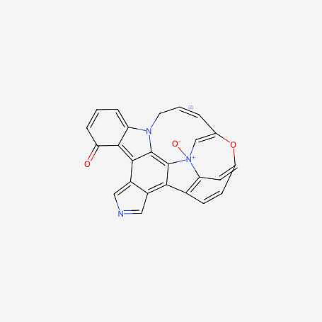 O=C1C=CC=c2c1c1c3c(c4c5c1n2C/C=C\C1=C[N+]5([O-])c2cc(ccc2-4)O1)C=NC=3